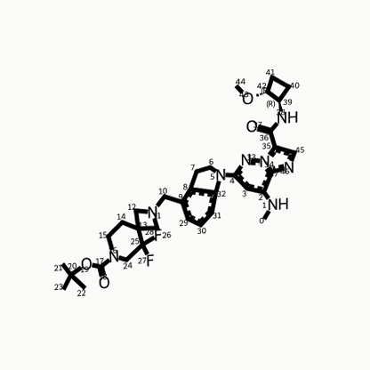 CNc1cc(N2CCc3c(CN4CC5(CCN(C(=O)OC(C)(C)C)CC5(F)F)C4)cccc32)nn2c(C(=O)N[C@@H]3CC[C@H]3OC)cnc12